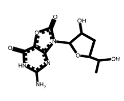 CC(O)C1CC(O)C(n2c(=O)oc3c(=O)[nH]c(N)nc32)O1